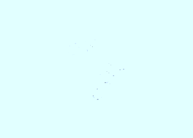 C=C/C(Br)=C1/N=C(c2ccccc2O)C=C(NCCCN(N)S(=O)(=O)c2cccc(C(F)(F)F)c2)N1N